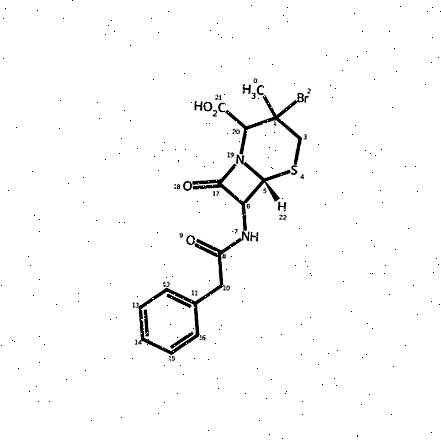 CC1(Br)CS[C@@H]2C(NC(=O)Cc3ccccc3)C(=O)N2C1C(=O)O